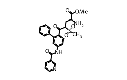 COC(=O)C(N)CC(C(=O)c1ccc(NC(=O)c2cccnc2)cc1-c1ccccc1)S(C)(=O)=O